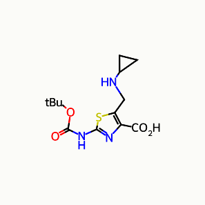 CC(C)(C)OC(=O)Nc1nc(C(=O)O)c(CNC2CC2)s1